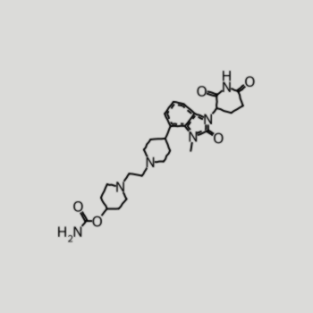 Cn1c(=O)n(C2CCC(=O)NC2=O)c2cccc(C3CCN(CCN4CCC(OC(N)=O)CC4)CC3)c21